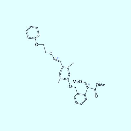 CO/C=C(/C(=O)OC)c1ccccc1COc1cc(C)c(/C=N/OCCOc2ccccc2)cc1C